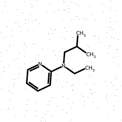 CCN(CC(C)C)c1ccccn1